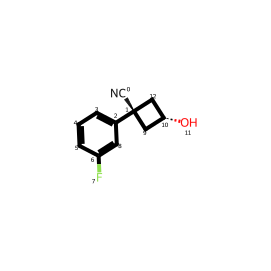 N#C[C@]1(c2cccc(F)c2)C[C@@H](O)C1